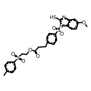 COc1ccc2c(c1)nc(S)n2S(=O)(=O)c1ccc(CCC(=O)OCCS(=O)(=O)c2ccc(C)cc2)cc1